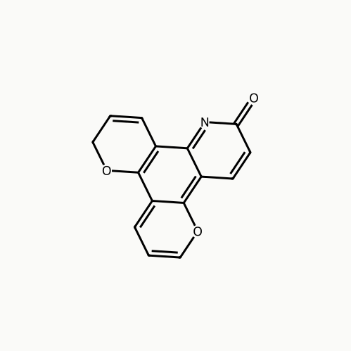 O=c1ccc2c(n1)c1c(c3cccoc32)OCC=C1